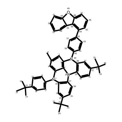 Cc1cc2c3c(c1)N(c1ccc(C(C)(C)C)cc1)c1cc(C(C)(C)C)ccc1B3c1ccc(C(C)(C)C)cc1N2c1ccc(-c2cccc3oc4ccccc4c23)cc1